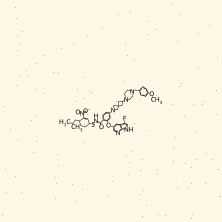 COc1ccc(CN2CCN(C3CC4(C3)CN(c3ccc(C(=O)NSC5C=C([N+](=O)[O-])C(CC(C)C)CC5)c(Oc5cnc6[nH]cc(F)c6c5)c3)C4)CC2)cc1